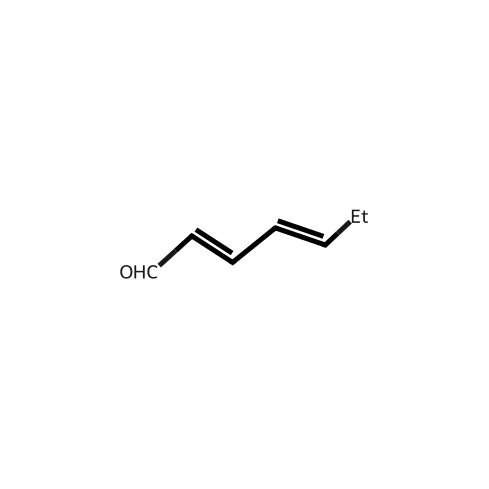 CCC=CC=CC=O